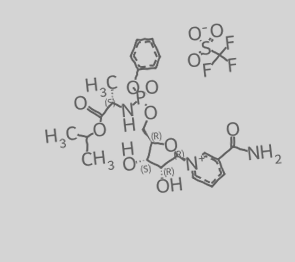 CC(C)OC(=O)[C@H](C)NP(=O)(OC[C@H]1O[C@@H]([n+]2cccc(C(N)=O)c2)[C@H](O)[C@@H]1O)Oc1ccccc1.O=S(=O)([O-])C(F)(F)F